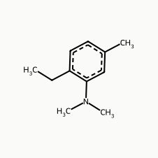 CCc1ccc(C)cc1N(C)C